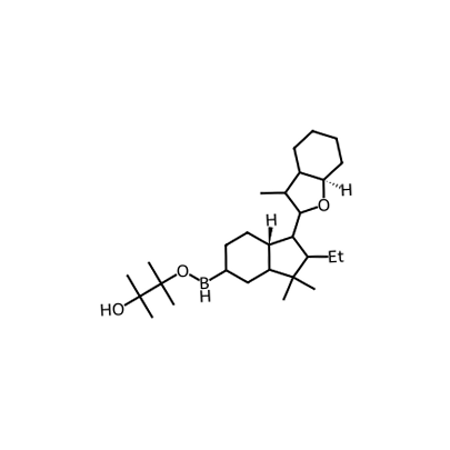 CCC1C(C2O[C@@H]3CCCCC3C2C)[C@H]2CCC(BOC(C)(C)C(C)(C)O)CC2C1(C)C